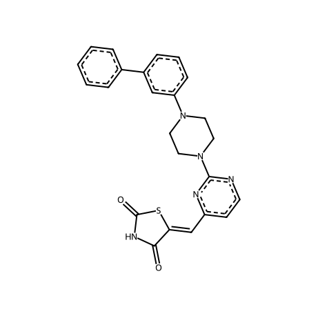 O=C1NC(=O)C(=Cc2ccnc(N3CCN(c4cccc(-c5ccccc5)c4)CC3)n2)S1